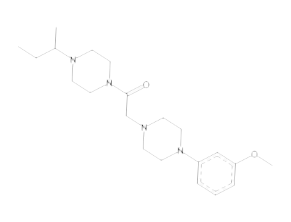 CCC(C)N1CCN(C(=O)CN2CCN(c3cccc(OC)c3)CC2)CC1